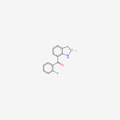 C[C@H]1Cc2cccc(C(=O)c3ccccc3F)c2N1